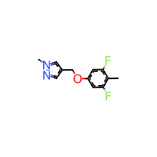 Cc1c(F)cc(OCc2cnn(C)c2)cc1F